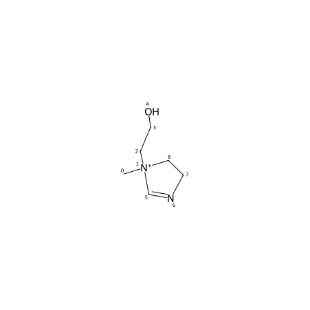 C[N+]1(CCO)C=NCC1